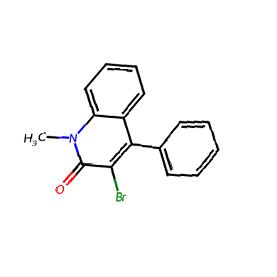 Cn1c(=O)c(Br)c(-c2ccccc2)c2ccccc21